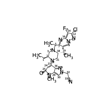 CC[C@H]1CN(C(C)c2ccn3nc(Cl)c(F)c3n2)[C@H](CC)CN1c1cc(=O)n(C)c2cn(CC#N)nc12